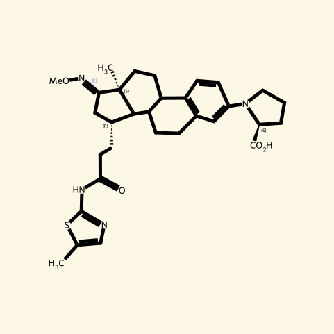 CO/N=C1\C[C@@H](CCC(=O)Nc2ncc(C)s2)C2C3CCc4cc(N5CCC[C@H]5C(=O)O)ccc4C3CC[C@]12C